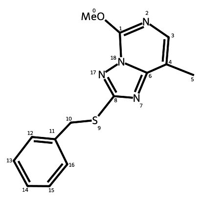 COc1ncc(C)c2nc(SCc3ccccc3)nn12